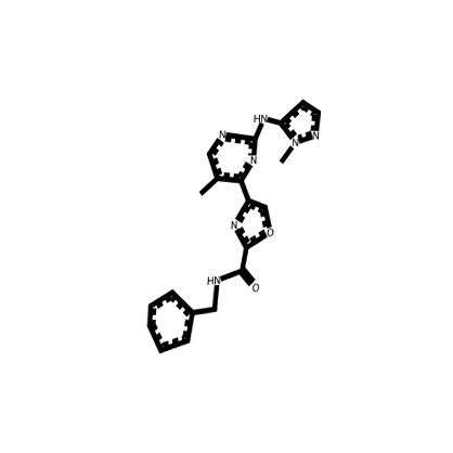 Cc1cnc(Nc2ccnn2C)nc1-c1coc(C(=O)NCc2ccccc2)n1